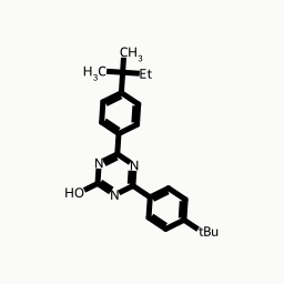 CCC(C)(C)c1ccc(-c2nc(O)nc(-c3ccc(C(C)(C)C)cc3)n2)cc1